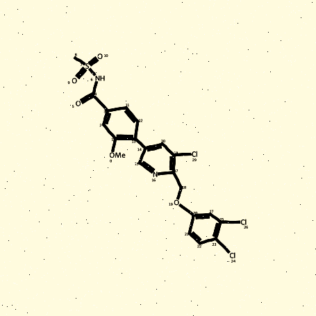 COc1cc(C(=O)NS(C)(=O)=O)ccc1-c1cnc(COc2ccc(Cl)c(Cl)c2)c(Cl)c1